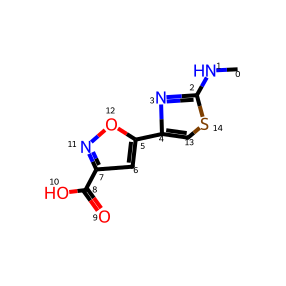 CNc1nc(-c2cc(C(=O)O)no2)cs1